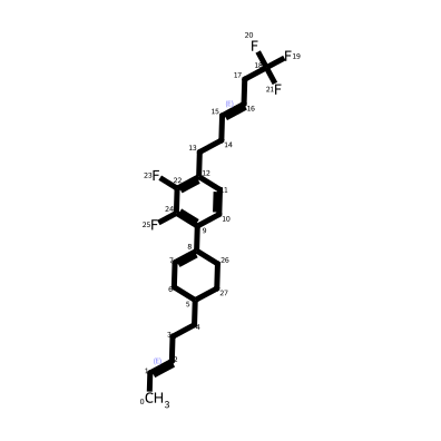 C/C=C/CCC1CC=C(c2ccc(CC/C=C/CC(F)(F)F)c(F)c2F)CC1